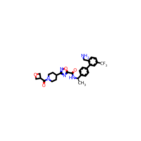 C[C@@H](NC(=O)c1nc(C2CCN(C(=O)C3COC3)CC2)no1)c1ccc(-c2cc(C(F)(F)F)ccc2CN)cc1